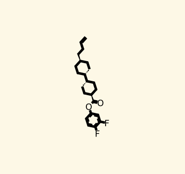 C=CCC[C@H]1CC[C@H]([C@H]2CC[C@H](C(=O)Oc3ccc(F)c(F)c3)CC2)CC1